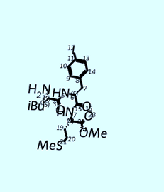 CC[C@H](C)[C@H](N)C(=O)N[C@@H](Cc1ccc(I)cc1)C(=O)N[C@@H](CCSC)C(=O)OC